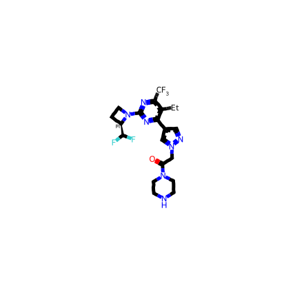 CCc1c(-c2cnn(CC(=O)N3CCNCC3)c2)nc(N2CC[C@@H]2C(F)F)nc1C(F)(F)F